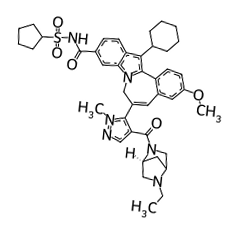 CCN1C[C@@H]2CC1CN2C(=O)c1cnn(C)c1C1=Cc2cc(OC)ccc2-c2c(C3CCCCC3)c3ccc(C(=O)NS(=O)(=O)C4CCCC4)cc3n2C1